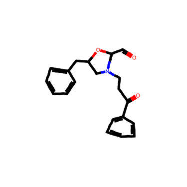 O=CC1OC(Cc2ccccc2)CN1CCC(=O)c1ccccc1